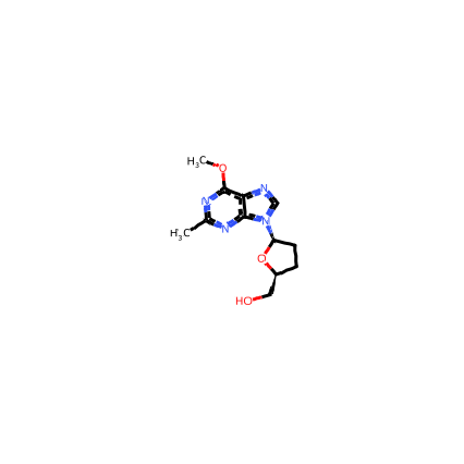 COc1nc(C)nc2c1ncn2[C@H]1CC[C@@H](CO)O1